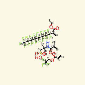 C=C(C(=O)OCC)C(F)(F)C(F)(F)C(F)(F)C(F)(F)C(F)(F)C(F)(F)C(F)(F)C(F)(F)F.C=C(C)C(=O)NC(C)(C)CS(=O)(=O)O.C=CC(=O)OCC(F)(F)F